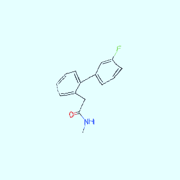 CNC(=O)Cc1ccccc1-c1cccc(F)c1